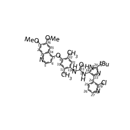 COc1cc2nccc(Oc3cc(C)c(NC(=O)Nc4[nH]c(C(C)(C)C)nc4-c4cccnc4Cl)cc3C)c2cc1OC